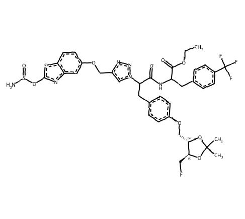 CCOC(=O)C(Cc1ccc(C(F)(F)F)cc1)NC(=O)C(Cc1ccc(OC[C@@H]2OC(C)(C)O[C@H]2CF)cc1)n1cc(COc2ccc3sc(OS(N)=O)nc3c2)nn1